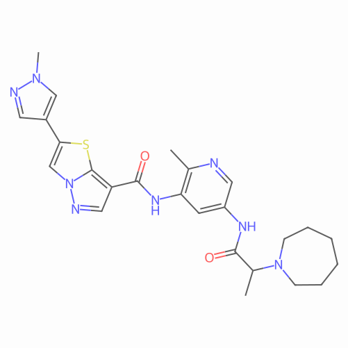 Cc1ncc(NC(=O)C(C)N2CCCCCC2)cc1NC(=O)c1cnn2cc(-c3cnn(C)c3)sc12